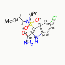 COCCN(C(C)C)S(=O)(=O)c1c(C(N)=O)[nH]c2ccc(Cl)cc12